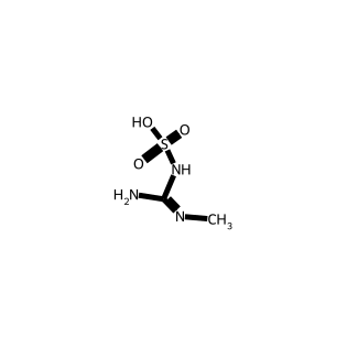 CN=C(N)NS(=O)(=O)O